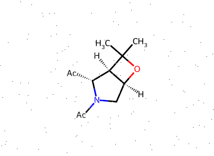 CC(=O)[C@@H]1[C@@H]2[C@H](CN1C(C)=O)OC2(C)C